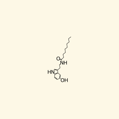 CCCCCCCCCC(=O)NCCc1c[nH]c2ccc(O)cc12